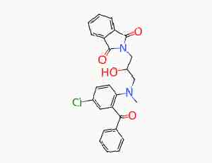 CN(CC(O)CN1C(=O)c2ccccc2C1=O)c1ccc(Cl)cc1C(=O)c1ccccc1